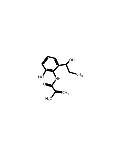 C=C(C)C(=O)Nc1c(O)cccc1C(O)CC